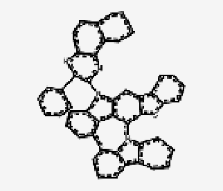 c1ccc(-c2nc3ccc4ccccc4c3nc2-n2c3cccc4c5cccc6c7ccccc7n(c56)c5c6sc7ccccc7c6cc2c5c43)cc1